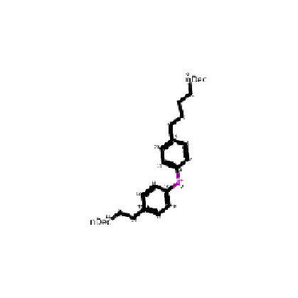 CCCCCCCCCCCCCCc1ccc([I+]c2ccc(CCCCCCCCCCCC)cc2)cc1